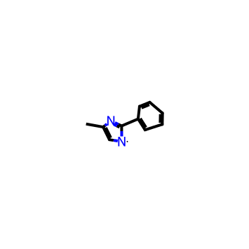 CC1=C[N]C(c2ccccc2)=N1